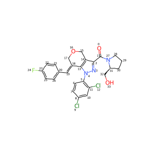 O=C(c1nn(-c2ccc(Cl)cc2Cl)c2c1COC/C2=C\c1ccc(F)cc1)N1CCC[C@H]1CO